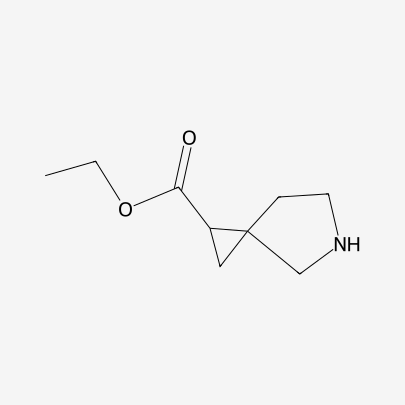 CCOC(=O)C1CC12CCNC2